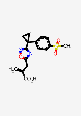 C=C(Cc1nc(C2(c3ccc(S(C)(=O)=O)cc3)CC2)no1)C(=O)O